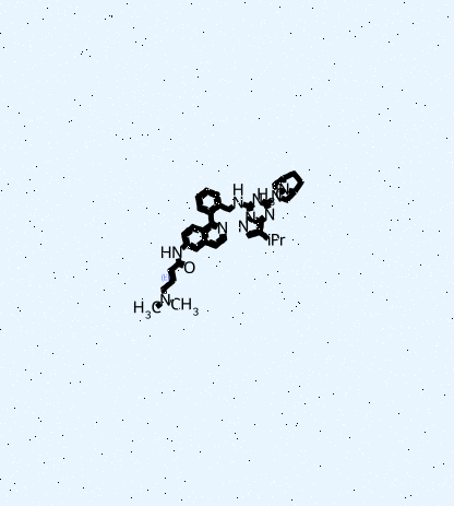 CC(C)c1cnn2c(NCc3ccccc3-c3nccc4cc(NC(=O)/C=C/CN(C)C)ccc34)nc(N3CC4CCC(C3)N4C)nc12